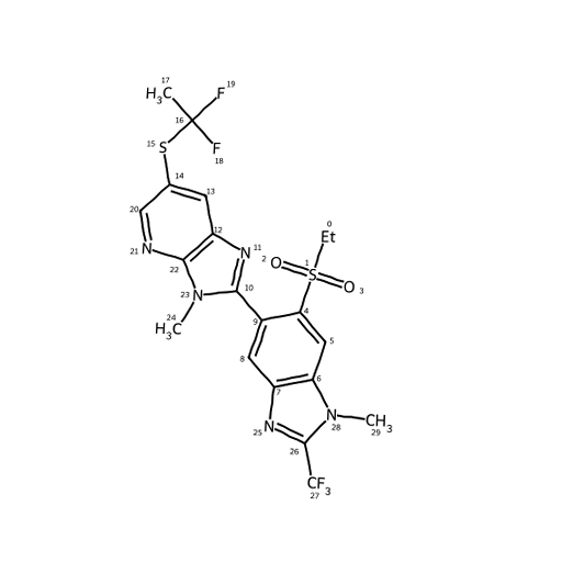 CCS(=O)(=O)c1cc2c(cc1-c1nc3cc(SC(C)(F)F)cnc3n1C)nc(C(F)(F)F)n2C